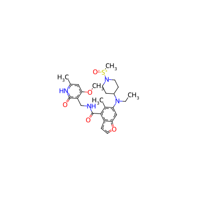 CCN(c1cc2occc2c(C(=O)NCc2c(OC)cc(C)[nH]c2=O)c1C)C1CCN([S+](C)[O-])CC1